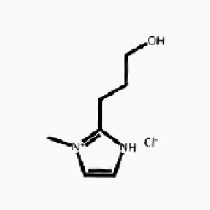 C[n+]1cc[nH]c1CCCO.[Cl-]